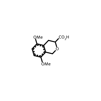 COc1ccc(OC)c2c1COC(C(=O)O)C2